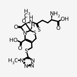 CO[C@@]1(NC(=S)CC[C@@H](N)C(=O)O)C(=O)N2C(C(=O)O)=C(CSc3nnnn3C)CS[C@H]21